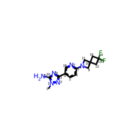 Cn1nc(-c2ccc(N3CC4(C3)CC(F)(F)C4)nc2)nc1N